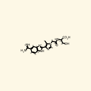 Cc1c(-c2nc3cc(C(=N)N)ccc3[nH]2)ncn1CC(=O)NC(CO)C(=O)O